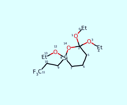 CCOC1(OCC)CCC[Si](CCC(F)(F)F)(OCC)O1